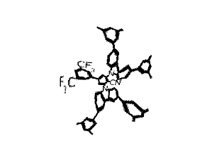 Cc1cc(C)cc(-c2ccc3c(c2)c2cc(-c4cc(C)cc(C)c4)ccc2n3-c2cc(-c3cc(C(F)(F)F)cc(C(F)(F)F)c3)cc(-n3c4ccc(-c5cc(C)cc(C)c5)cc4c4cc(-c5cc(C)cc(C)c5)ccc43)c2C#N)c1